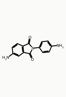 Nc1ccc(N2C(=O)c3ccc(N)cc3C2=O)cc1